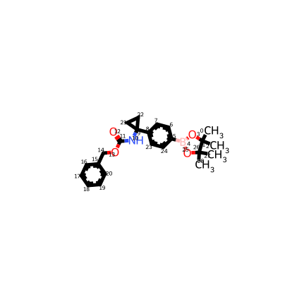 CC1(C)OB(c2ccc(C3(NC(=O)OCc4ccccc4)CC3)cc2)OC1(C)C